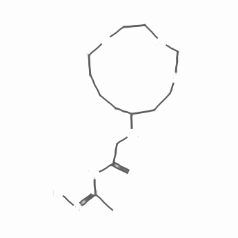 CC/N=C(/C)OC(=O)COC1CCCCCCCCCCCC1